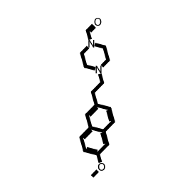 COc1ccc2cc(CCN3CCN(C=O)CC3)ccc2c1